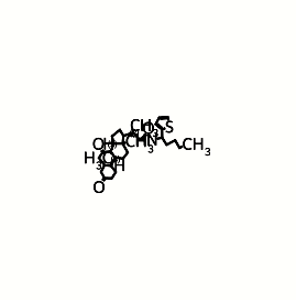 CCCCC(NC(=O)C[C@@H](C)C1CC[C@H]2C3C(=O)CC4CC(=O)CCC4(C)[C@H]3CCC12C)c1cccs1